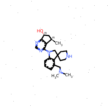 C[C@@H]1C[C@@H](O)c2ncnc(N3CC4(CCNCC4)c4c(CN(C)C)cccc43)c21